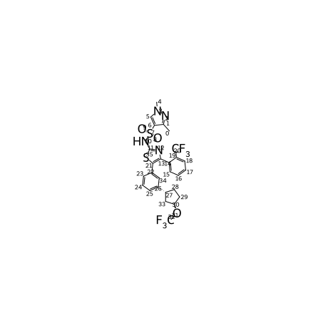 Cc1nn(C)cc1S(=O)(=O)Nc1nc(-c2ccccc2C(F)(F)F)c(-c2cccc([C@@H]3CC[C@@H](OC(F)(F)F)C3)c2)s1